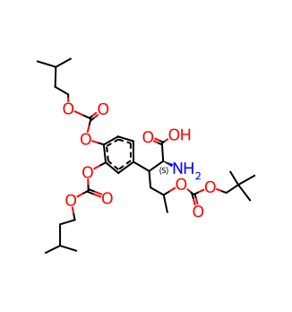 CC(C)CCOC(=O)Oc1ccc(C(CC(C)OC(=O)OCC(C)(C)C)[C@H](N)C(=O)O)cc1OC(=O)OCCC(C)C